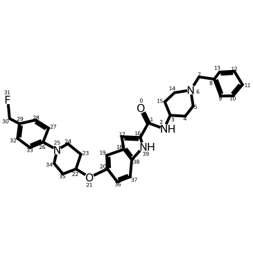 O=C(NC1CCN(Cc2ccccc2)CC1)c1cc2cc(OC3CCN(c4ccc(CF)cc4)CC3)ccc2[nH]1